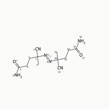 CC(C#N)(CCC(N)=O)/N=N/C(C)(C#N)CCC(N)=O